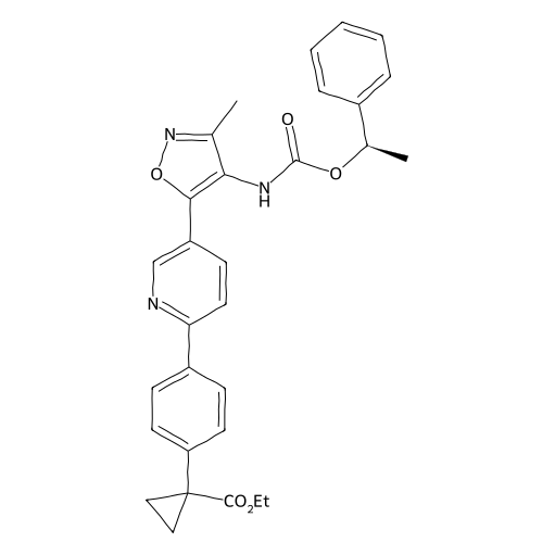 CCOC(=O)C1(c2ccc(-c3ccc(-c4onc(C)c4NC(=O)O[C@H](C)c4ccccc4)cn3)cc2)CC1